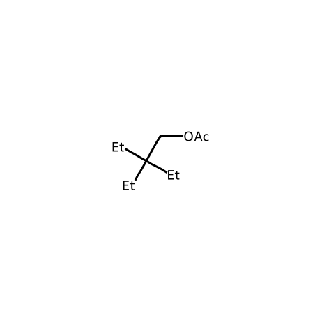 CCC(CC)(CC)COC(C)=O